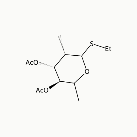 CCSC1OC(C)[C@@H](OC(C)=O)[C@H](OC(C)=O)[C@@H]1C